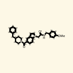 COc1ccc(CNC(=O)Cn2ccc3cc(C(=O)N4CCC(Cc5ccccc5)CC4)ccc32)cc1